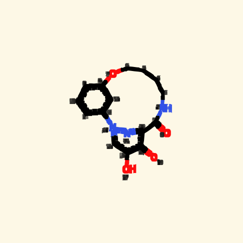 O=C1NCCCCOc2cccc(c2)-n2cc(O)c(=O)c1n2